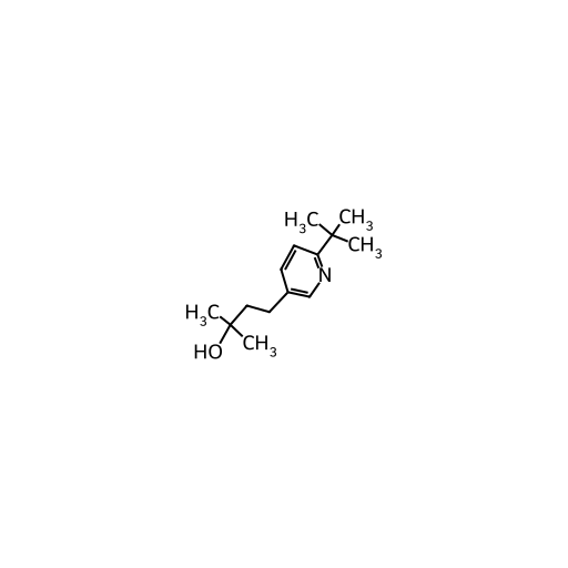 CC(C)(O)CCc1ccc(C(C)(C)C)nc1